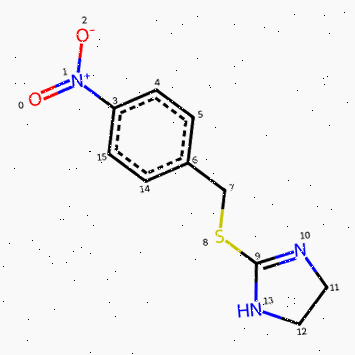 O=[N+]([O-])c1ccc(CSC2=NCCN2)cc1